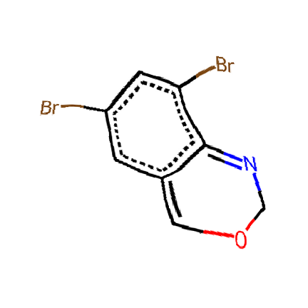 Brc1cc(Br)c2c(c1)=COCN=2